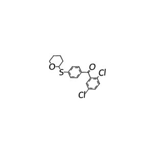 O=C(c1ccc(SC2CCCCO2)cc1)c1cc(Cl)ccc1Cl